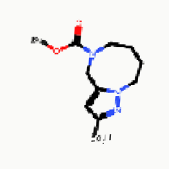 CC(C)(C)OC(=O)N1CCCCn2nc(C(=O)O)cc2C1